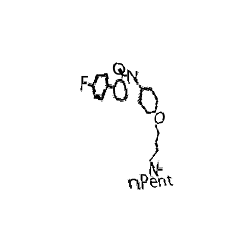 CCCCCN(C)CCCCCOC1CCC(N(C)C(=O)Oc2ccc(F)cc2)CC1